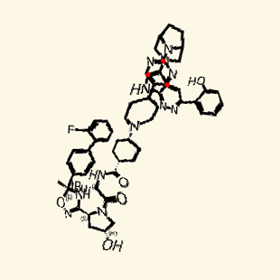 CC(C)(C)[C@H](NC(=O)[C@H]1CC[C@@H](N2CCC(c3cnc(N4C5CCC4CN(c4c[nH]c6nnc(-c7ccccc7O)cc46)C5)nc3)CC2)CC1)C(=O)N1C[C@H](O)C[C@H]1C1=NO[C@](C)(c2ccc(-c3ccccc3F)cc2)N1